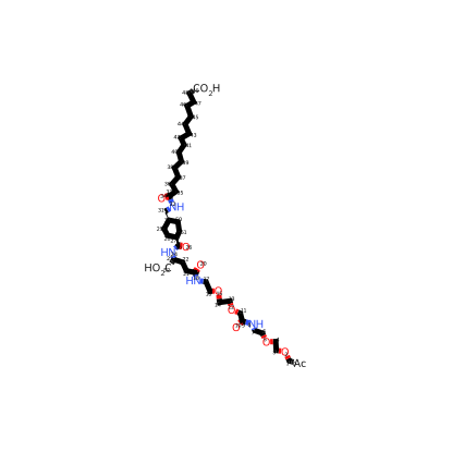 CC(=O)COCCOCCNC(=O)COCCOCCNC(=O)CCC(NC(=O)[C@H]1CC[C@H](CNC(=O)CCCCCCCCCCCCCCC(=O)O)CC1)C(=O)O